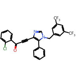 O=C(C#Cc1ncn(Cc2cc(C(F)(F)F)cc(C(F)(F)F)c2)c1-c1ccccc1)c1ccccc1Cl